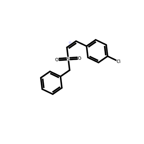 O=S(=O)(/C=C\c1ccc(Cl)cc1)Cc1ccccc1